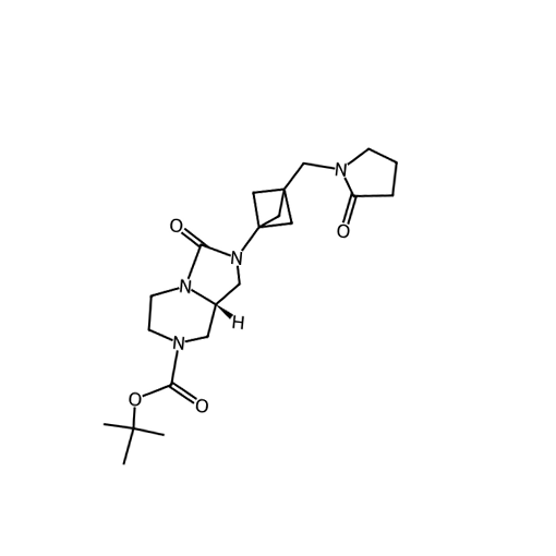 CC(C)(C)OC(=O)N1CCN2C(=O)N(C34CC(CN5CCCC5=O)(C3)C4)C[C@@H]2C1